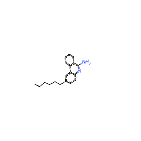 CCCCCCc1ccc2nc(N)c3ccccc3c2c1